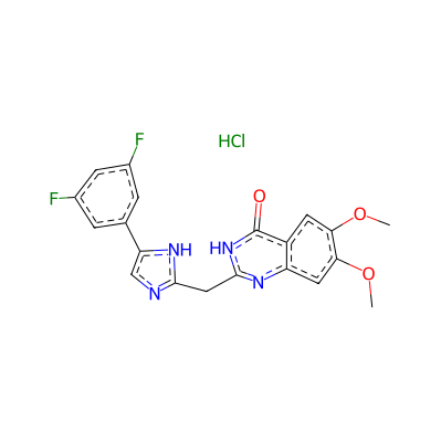 COc1cc2nc(Cc3ncc(-c4cc(F)cc(F)c4)[nH]3)[nH]c(=O)c2cc1OC.Cl